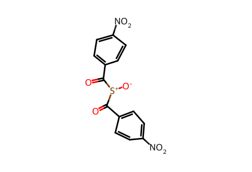 O=C(c1ccc([N+](=O)[O-])cc1)[S+]([O-])C(=O)c1ccc([N+](=O)[O-])cc1